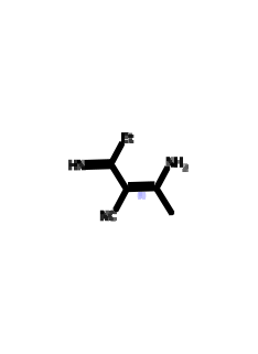 CCC(=N)/C(C#N)=C(/C)N